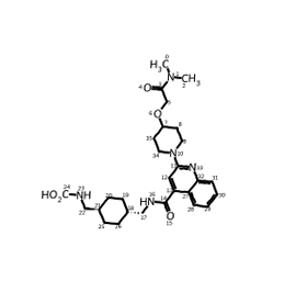 CN(C)C(=O)COC1CCN(c2cc(C(=O)NC[C@H]3CC[C@H](CNC(=O)O)CC3)c3ccccc3n2)CC1